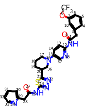 O=C(Cc1cccc(OC(F)(F)F)c1)Nc1ccc(N2CCCC(c3nnc(NC(=O)Cc4ccccn4)s3)C2)cn1